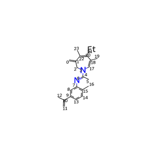 C=C1CN(/C(C)=N/c2cc(C(=C)C)ccc2C)C=C(C)C(CC)=C1C